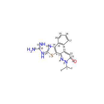 CC(C)n1nc(-c2sc(NC(=N)N)nc2-c2ccccc2)ccc1=O